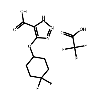 O=C(O)C(F)(F)F.O=C(O)c1[nH]nnc1OC1CCC(F)(F)CC1